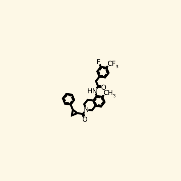 Cc1ccc2c(c1NC(=O)Cc1ccc(C(F)(F)F)c(F)c1)CCN(C(=O)C1CC1c1ccccc1)C2